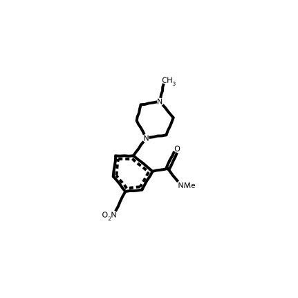 CNC(=O)c1cc([N+](=O)[O-])ccc1N1CCN(C)CC1